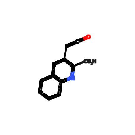 O=C=Cc1cc2ccccc2nc1C(=O)O